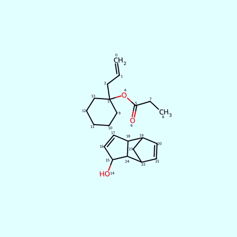 C=CCC1(OC(=O)CC)CCCCC1.OC1C=CC2C3C=CC(C3)C12